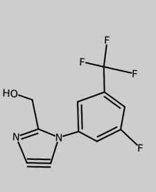 OCc1nc#cn1-c1cc(F)cc(C(F)(F)F)c1